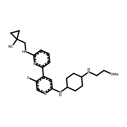 COCCNC1CCC(Nc2cc(-c3cccc(NCC4(C#N)CC4)n3)c(F)cn2)CC1